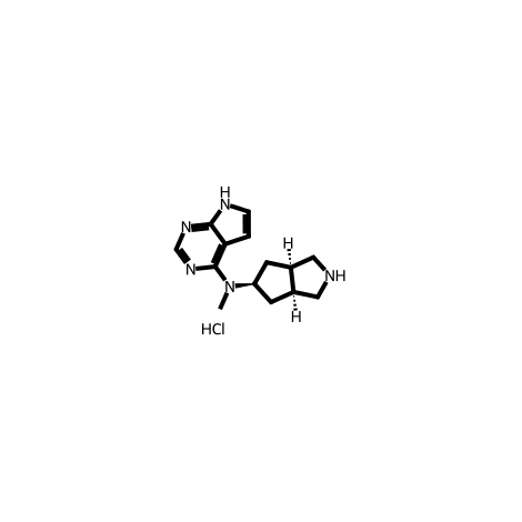 CN(c1ncnc2[nH]ccc12)[C@H]1C[C@H]2CNC[C@H]2C1.Cl